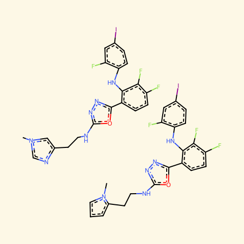 Cn1cccc1CCNc1nnc(-c2ccc(F)c(F)c2Nc2ccc(I)cc2F)o1.Cn1cnc(CCNc2nnc(-c3ccc(F)c(F)c3Nc3ccc(I)cc3F)o2)c1